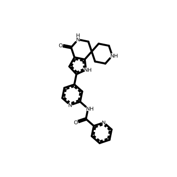 O=C(Nc1cc(-c2cc3c([nH]2)C2(CCNCC2)CNC3=O)ccn1)c1ccccn1